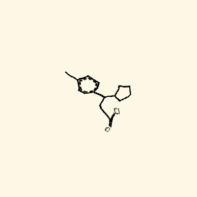 Cc1ccc(C(CC(=O)Cl)C2CCCC2)cc1